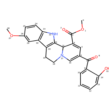 COC(=O)C1=CC(C(=O)c2ccccc2O)=CN2CCc3c([nH]c4ccc(OC)cc34)C12